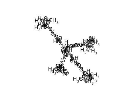 CC[C@H]1O[C@@H](OCCOCCOCCOCC(=O)NCCCC[C@H](NC(=O)COCCOCCOCCO[C@@H]2O[C@H](CC)[C@H](C)[C@H](C)[C@H]2NC(C)=O)C(=O)N[C@@H](CCCCNC(=O)COCCOCCOCCO[C@@H]2O[C@H](CC)[C@H](C)[C@H](C)[C@H]2NC(C)=O)C(=O)NCCCCCCOP(OCCC#N)N(C(C)C)C(C)C)[C@H](NC(C)=O)[C@@H](C)[C@H]1C